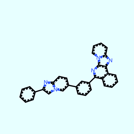 c1ccc(-c2cn3cc(-c4cccc(-c5nc6c(nc7ccccn76)c6ccccc56)c4)ccc3n2)cc1